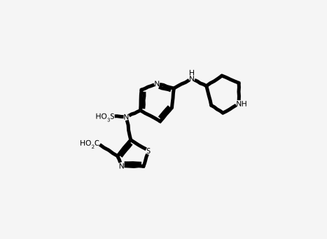 O=C(O)c1ncsc1N(c1ccc(NC2CCNCC2)nc1)S(=O)(=O)O